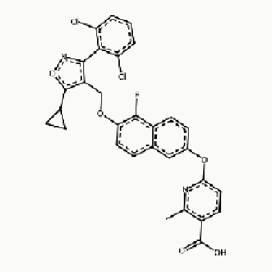 Cc1nc(Oc2ccc3c(F)c(OCc4c(-c5c(Cl)cccc5Cl)noc4C4CC4)ccc3c2)ccc1C(=O)O